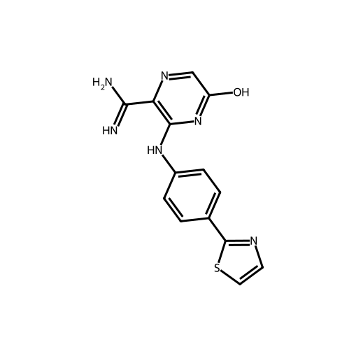 N=C(N)c1ncc(O)nc1Nc1ccc(-c2nccs2)cc1